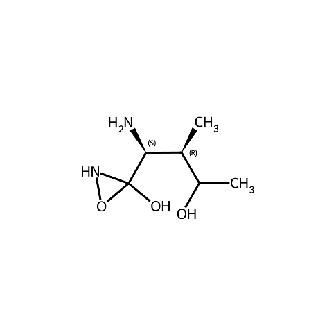 CC(O)[C@H](C)[C@H](N)C1(O)NO1